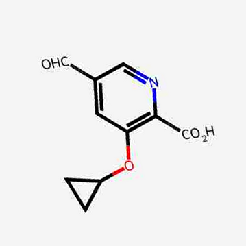 O=Cc1cnc(C(=O)O)c(OC2CC2)c1